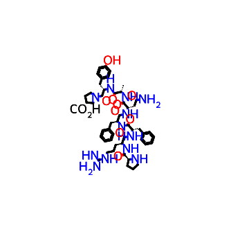 C[C@H](NC(=O)[C@H](CC(N)=O)NC(=O)[C@H](Cc1ccccc1)NC(=O)[C@H](Cc1ccccc1)NC(=O)[C@H](CCCNC(=N)N)NC(=O)[C@@H]1CCCN1)C(=O)N[C@@H](Cc1ccc(O)cc1)C(=O)N1CCC[C@@H]1C(=O)O